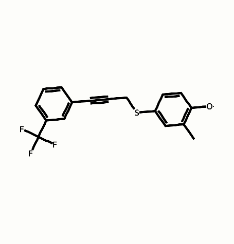 Cc1cc(SCC#Cc2cccc(C(F)(F)F)c2)ccc1[O]